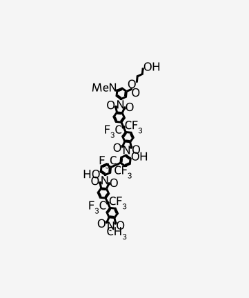 CNc1cc(C(=O)OCCCCO)cc(N2C(=O)c3ccc(C(c4ccc5c(c4)C(=O)N(c4cc(C(c6ccc(O)c(N7C(=O)c8ccc(C(c9ccc%10c(c9)C(=O)N(C)C%10=O)(C(F)(F)F)C(F)(F)F)cc8C7=O)c6)(C(F)(F)F)C(F)(F)F)ccc4O)C5=O)(C(F)(F)F)C(F)(F)F)cc3C2=O)c1